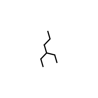 CC[C]C(CC)CC